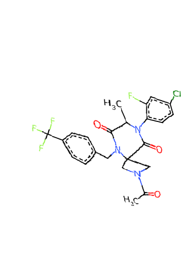 CC(=O)N1CC2(C1)C(=O)N(c1ccc(Cl)cc1F)C(C)C(=O)N2Cc1ccc(C(F)(F)F)cc1